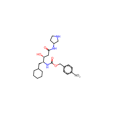 O=C(C[C@H](O)[C@H](CC1CCCCC1)NC(=O)OCc1ccc([N+](=O)[O-])cc1)N[C@H]1CCNC1